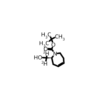 [2H]C([2H])(O)[C@@H]1CC=CCCN1C(=O)OC(C)(C)C